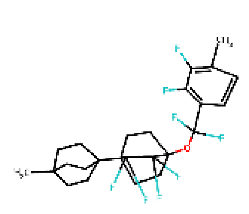 Cc1ccc(C(F)(F)OC23CCC(C45CCC(C)(CC4)CC5)(CC2)C(F)(F)C3(F)F)c(F)c1F